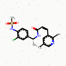 CC(C)c1ncc(C(F)(F)F)cc1/C=C\C(=O)N[C@H](C)c1ccc(NS(C)(=O)=O)c(F)c1